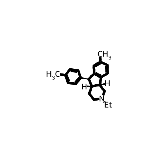 CCN1CC[C@@H]2[C@@H](c3ccc(C)cc3)c3cc(C)ccc3[C@@H]2C1